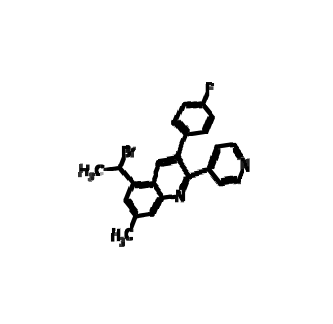 Cc1cc(C(C)Br)c2cc(-c3ccc(F)cc3)c(-c3ccncc3)nc2c1